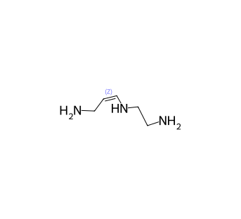 NC/C=C\NCCN